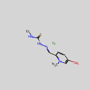 CCNC(=S)NN=Cc1ccc(O)c[n+]1C.[Cl-]